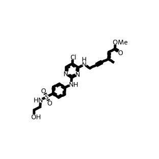 COC(=O)C=C(C)C#CCNc1nc(Nc2ccc(S(=O)(=O)NCCO)cc2)ncc1Cl